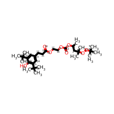 CC(CC(C)(C)OOC(C)(C)C)OC(=O)OCCOC(=O)CCc1cc(C(C)(C)C)c(O)c(C(C)(C)C)c1